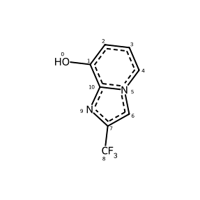 Oc1cccn2cc(C(F)(F)F)nc12